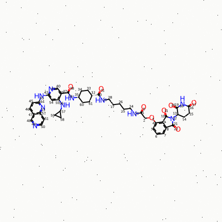 O=C(COc1cccc2c1C(=O)N(C1CCC(=O)NC1=O)C2=O)NCCCCCNC(=O)[C@H]1CC[C@H](NC(=O)c2cnc(Nc3ccc4cnccc4n3)cc2NC2CC2)CC1